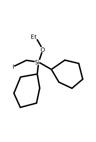 CCO[Si](CI)(C1CCCCC1)C1CCCCC1